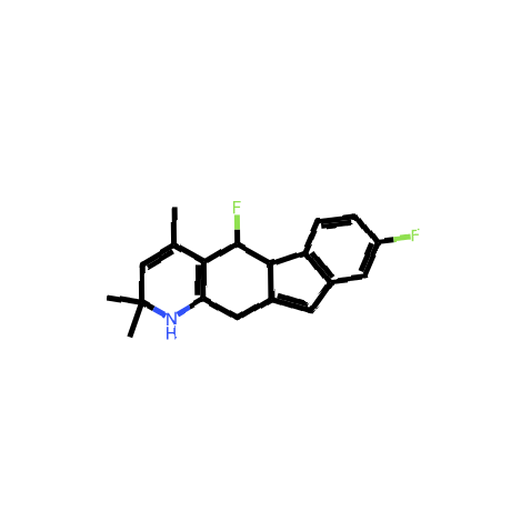 CC1=CC(C)(C)NC2=C1C(F)C1C(=Cc3cc(F)ccc31)C2